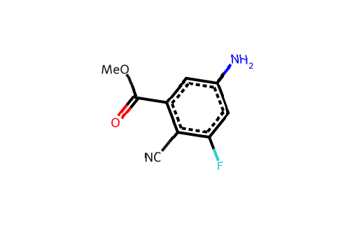 COC(=O)c1cc(N)cc(F)c1C#N